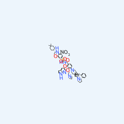 CC(C)c1ccccc1[C@@H]1CCCN1C1CC2(CCN(c3ccc(C(=O)NS(=O)(=O)c4cc5c(c([N+](=O)[O-])c4)N[C@@H](C4CCC(C)(C)CC4)CO5)c(Oc4cc5cc[nH]c5nc4OCCN4CCC4)c3)CC2)C1